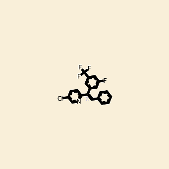 Fc1cc(/C(=C\c2ccccc2)c2ccc(Cl)cn2)cc(C(F)(F)F)c1